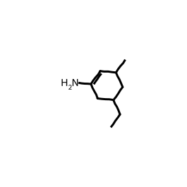 CCC1CC(N)=CC(C)C1